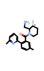 Cc1ccc(-c2cccc(C)n2)c(C(=O)N2CCC[C@@H](C)C2CN)c1